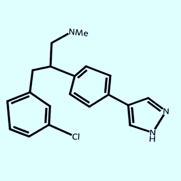 CNCC(Cc1cccc(Cl)c1)c1ccc(-c2cn[nH]c2)cc1